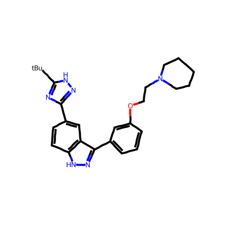 CC(C)(C)c1nc(-c2ccc3[nH]nc(-c4cccc(OCCN5CCCCC5)c4)c3c2)n[nH]1